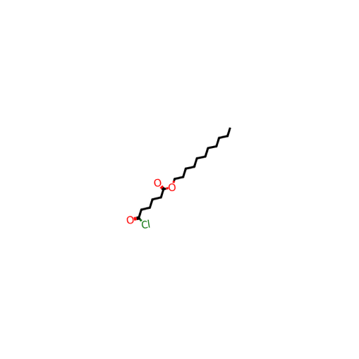 CCCCCCCCCCCOC(=O)CCCCC(=O)Cl